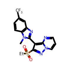 CCS(=O)(=O)c1nn2cccnc2c1-c1nc2cc(C(F)(F)F)ccc2n1C